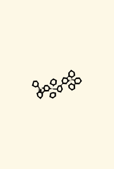 c1ccc(-n2c3ccccc3c3cc([Si](c4ccccc4)(c4ccccc4)c4cccc(-c5ccc6c(c5)[Si](c5ccccc5)(c5ccccc5)c5ccccc5-6)c4)ccc32)cc1